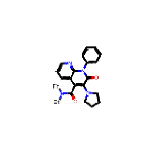 CCN(CC)C(=O)c1c(N2CCCC2)c(=O)n(-c2ccccc2)c2ncccc12